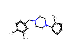 Cc1ccc(CN2CCN(c3ccccc3C)CC2)cc1C